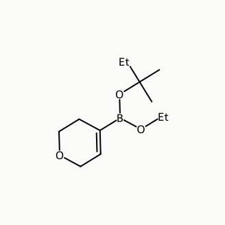 CCOB(OC(C)(C)CC)C1=CCOCC1